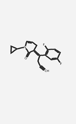 C#CCC(=C1CC=CN(C2CC2)C1=O)c1cc(F)ccc1F